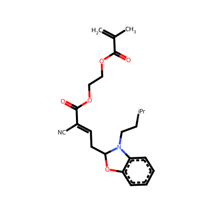 C=C(C)C(=O)OCCOC(=O)/C(C#N)=C/CC1Oc2ccccc2N1CCC(C)C